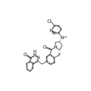 CN(c1ccc(Cl)nn1)[C@@H]1CCN(C(=O)c2cc(Cc3n[nH]c(=O)c4ccccc34)ccc2F)C1